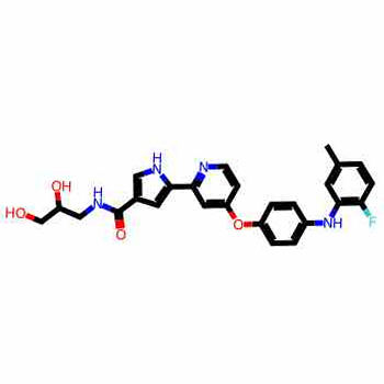 Cc1ccc(F)c(Nc2ccc(Oc3ccnc(-c4cc(C(=O)NCC(O)CO)c[nH]4)c3)cc2)c1